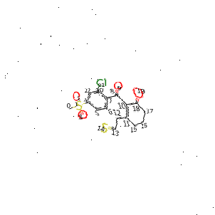 CS(=O)(=O)c1ccc(C(=O)C2=C(CC=S)CCCC2=O)c(Cl)c1